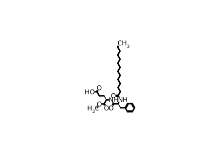 CCCCCCCCCCCCCC(=O)N[C@@H](Cc1ccccc1)C(=O)N[C@H](CCC(=O)O)C(=O)OC